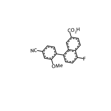 COc1cc(C#N)ccc1-c1ccc(F)c2ccc(C(=O)O)cc12